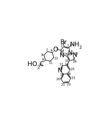 Nc1c(Br)c(OC2CCC(C(=O)O)CC2)nc2c(-c3cnc4ccccc4c3)cnn12